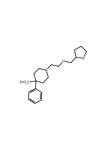 CCOC(=O)C1(c2ccccc2)CCN(CCOCC2CCCO2)CC1